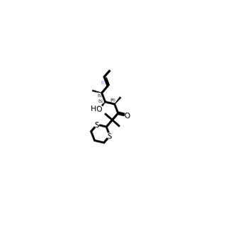 C/C=C/[C@H](C)[C@H](O)[C@@H](C)C(=O)C(C)(C)C1SCCCS1